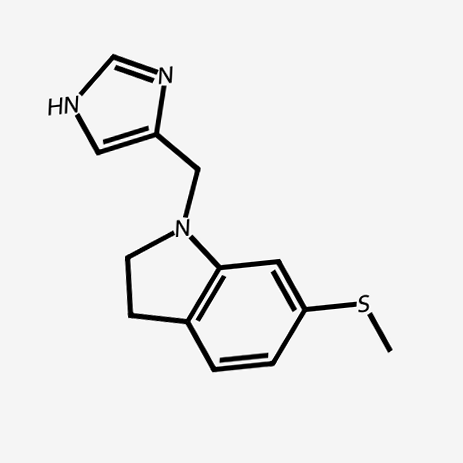 CSc1ccc2c(c1)N(Cc1c[nH]cn1)CC2